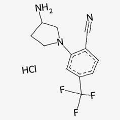 Cl.N#Cc1ccc(C(F)(F)F)cc1N1CCC(N)C1